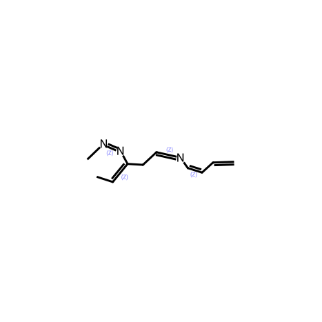 C=C/C=C\N=C/CC(=C/C)/N=N\C